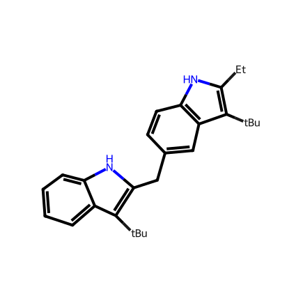 CCc1[nH]c2ccc(Cc3[nH]c4ccccc4c3C(C)(C)C)cc2c1C(C)(C)C